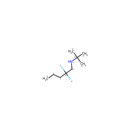 CCCC(F)(F)CNC(C)(C)C